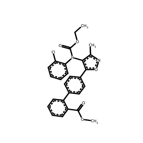 CCOC(=O)N(c1ccccc1Cl)c1c(C)noc1-c1ccc(-c2ccccc2C(=O)OC)cc1